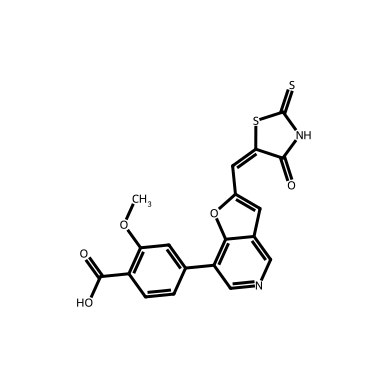 COc1cc(-c2cncc3cc(C=C4SC(=S)NC4=O)oc23)ccc1C(=O)O